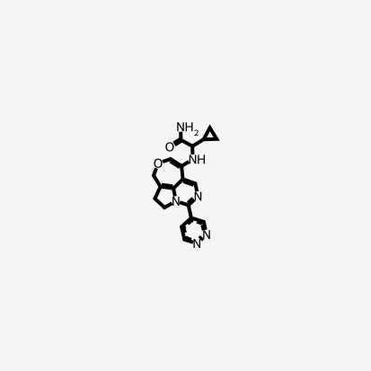 NC(=O)C(NC1=COCC2=C3C1=CN=C(c1ccnnc1)N3CC2)C1CC1